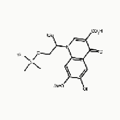 COc1cc2c(cc1O)c(=O)c(C(=O)O)cn2C(CO[Si](C)(C)C(C)(C)C)C(C)(C)C